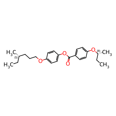 CC[C@H](C)CCCOc1ccc(OC(=O)c2ccc(O[C@H](C)CC)cc2)cc1